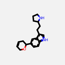 C1=CCC(c2ccc3[nH]cc(CCC4CCCN4)c3c2)OC1